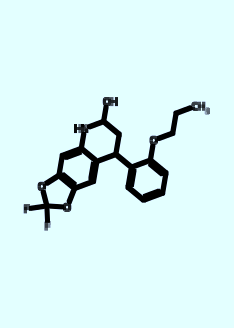 CCCOc1ccccc1C1CC(O)Nc2cc3c(cc21)OC(F)(F)O3